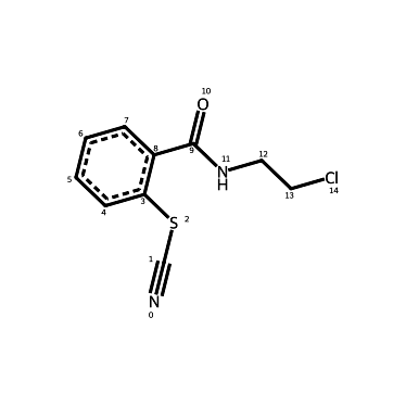 N#CSc1ccccc1C(=O)NCCCl